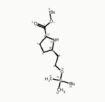 CC(C)(C)OC(=O)[C@@H]1CC[C@H](CCO[Si](C)(C)C(C)(C)C)N1